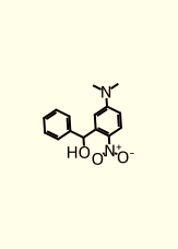 CN(C)c1ccc([N+](=O)[O-])c(C(O)c2ccccc2)c1